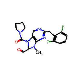 CN1c2nc(Cc3c(F)cccc3F)ncc2N(C(=O)N2CCCC2)C1C=O